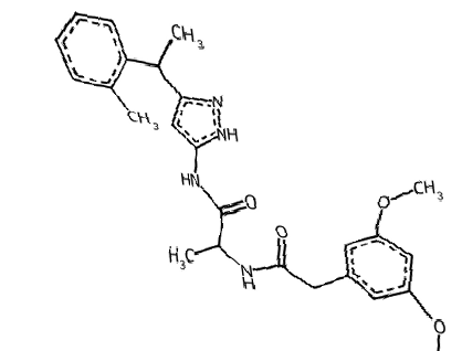 COc1cc(CC(=O)NC(C)C(=O)Nc2cc(C(C)c3ccccc3C)n[nH]2)cc(OC)c1